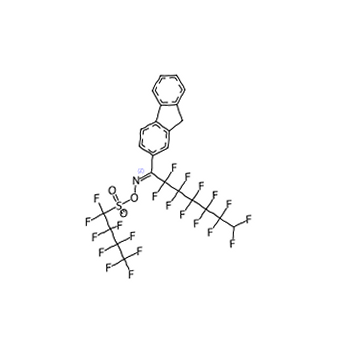 O=S(=O)(O/N=C(/c1ccc2c(c1)Cc1ccccc1-2)C(F)(F)C(F)(F)C(F)(F)C(F)(F)C(F)(F)C(F)F)C(F)(F)C(F)(F)C(F)(F)C(F)(F)F